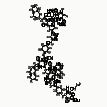 C=CCOC(=O)NC(Cc1ccc(OCc2cn([C@H]3C[C@@H](C(=O)NC(Cc4ccc5ccccc5c4)C(=O)NC(C#N)Cc4ccc(OCc5cn([C@H]6C[C@@H](C(=O)NC(Cc7ccc8ccccc8c7)C(=O)O)N(C(=O)C(NC(=O)C(C)N(C)C(=O)OC(C)(C)C)C(C)(C)C)C6)nn5)cc4)N(C(=O)C(NC(=O)C(C)N(C)C(=O)OC(C)(C)C)C(C)(C)C)C3)nn2)cc1)C(=O)OC(C)(C)C